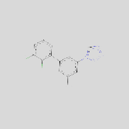 O=C(O)c1cc(-c2cccc(Cl)c2Cl)cc(-n2cnnn2)c1